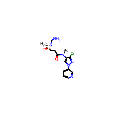 CCN(C(=O)CCS(C)(=O)=NCN)c1cn(-c2cccnc2)nc1Cl